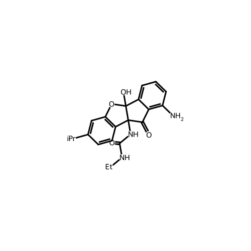 CCNC(=O)NC12C(=O)c3c(N)cccc3C1(O)Oc1cc(C(C)C)ccc12